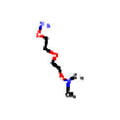 CN(C)OCCOCCON